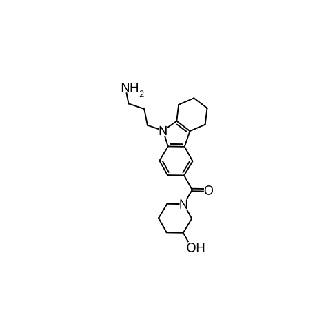 NCCCn1c2c(c3cc(C(=O)N4CCCC(O)C4)ccc31)CCCC2